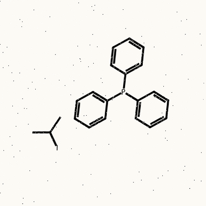 CC(C)I.c1ccc(P(c2ccccc2)c2ccccc2)cc1